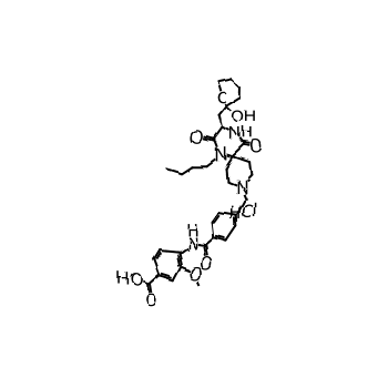 CCCCN1C(=O)[C@@H](CC2(O)CCCCC2)NC(=O)C12CCN(Cc1ccc(C(=O)Nc3ccc(C(=O)O)cc3OC)cc1)CC2.Cl